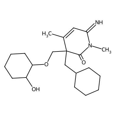 CC1=CC(=N)N(C)C(=O)C1(COC1CCCCC1O)CC1CCCCC1